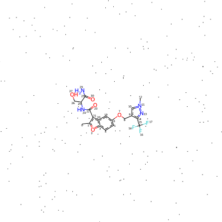 Cc1oc2ccc(OCc3cn(C)nc3C(F)(F)F)cc2c1C(=O)NC(CO)C(N)=O